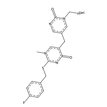 CCCCCCCCCCCn1cc(Cc2cn(C)c(SCc3ccc(F)cc3)nc2=O)cnc1=O